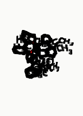 C[SiH](C)[Zr]([Cl])([Cl])([CH]1C(c2ccccc2)=Cc2c1ccc(C(C)(C)C)c2-c1ccccc1-c1ccccc1)[CH]1C(c2ccccc2)=Cc2c1ccc(C(C)(C)C)c2-c1ccccc1-c1ccccc1